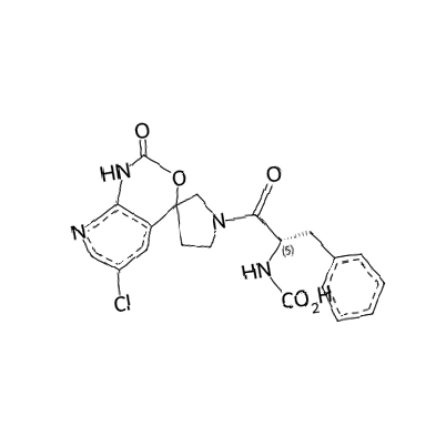 O=C(O)N[C@@H](Cc1ccccc1)C(=O)N1CCC2(C1)OC(=O)Nc1ncc(Cl)cc12